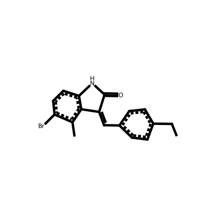 CCc1ccc(C=C2C(=O)Nc3ccc(Br)c(C)c32)cc1